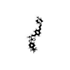 CN1CCN(CCCC2CCC(CCN(C)C(=O)Oc3ccc(C(F)(F)F)cc3)CC2)CC1